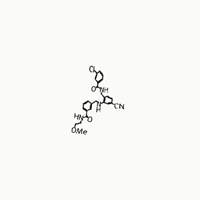 COCCNC(=O)c1cccc(CNc2cc(C#N)ccc2CNC(=O)c2cccc(Cl)c2)c1